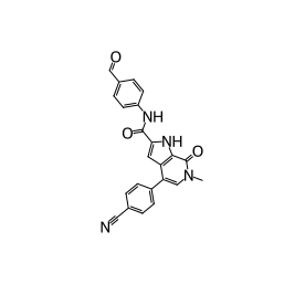 Cn1cc(-c2ccc(C#N)cc2)c2cc(C(=O)Nc3ccc(C=O)cc3)[nH]c2c1=O